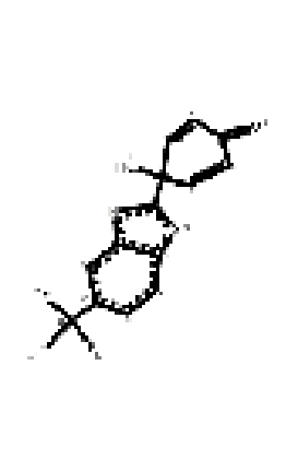 O=C1C=CC(O)(c2nc3cc(C(F)(F)F)ccc3s2)C=C1